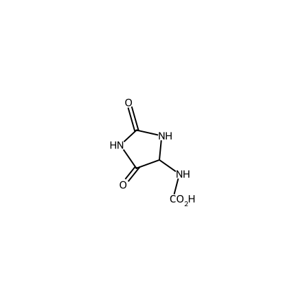 O=C(O)NC1NC(=O)NC1=O